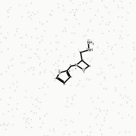 NNCC1CON1Cc1cccs1